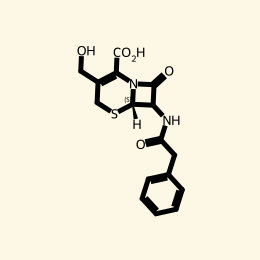 O=C(Cc1ccccc1)NC1C(=O)N2C(C(=O)O)=C(CO)CS[C@@H]12